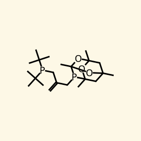 C=C(CP(C(C)(C)C)C(C)(C)C)CP1C2(C)CC3(C)CC(C)(O2)OC1(C)O3